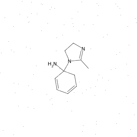 CC1=NCCN1C1(N)C=CC=CC1